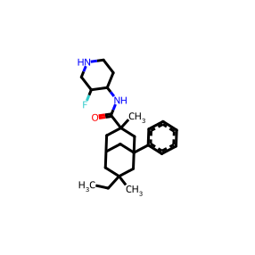 CCC1(C)CC2CC(C)(C(=O)NC3CCNCC3F)CC(c3ccccc3)(C2)C1